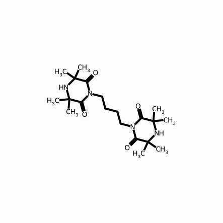 CC1(C)NC(C)(C)C(=O)N(CCCCN2C(=O)C(C)(C)NC(C)(C)C2=O)C1=O